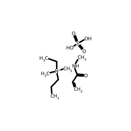 C=CC(=O)NC.CCC[N+](C)(C)CC.O=S(=O)(O)O